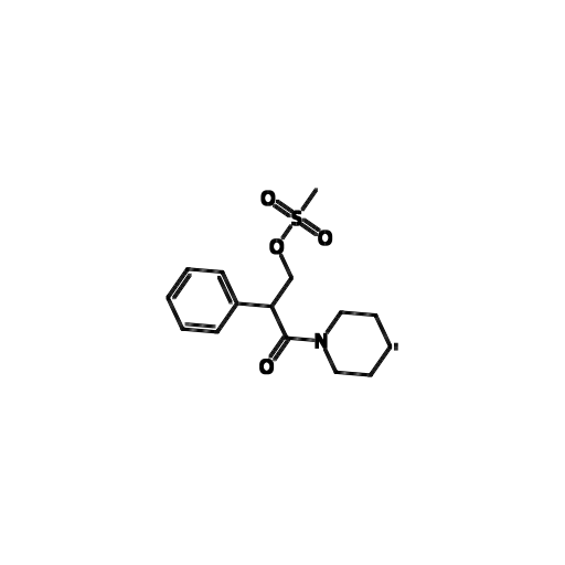 CS(=O)(=O)OCC(C(=O)N1CC[C]CC1)c1ccccc1